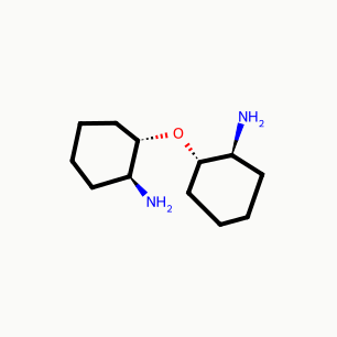 N[C@H]1CCCC[C@@H]1O[C@H]1CCCC[C@@H]1N